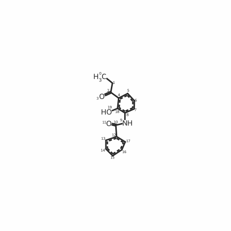 CCC(=O)c1cccc(NC(=O)c2ccccc2)c1O